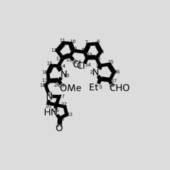 CCc1nc(-c2cccc(-c3cccc(-c4ccc(CN5CC6(CCC(=O)N6)C5)c(OC)n4)c3Cl)c2Cl)ccc1C=O